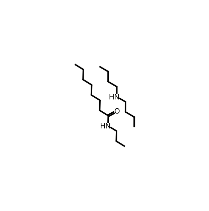 CCCCCCCC(=O)NCCC.CCCCNCCCC